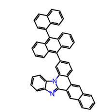 c1ccc2cc3c(cc2c1)c1ccc(-c2c4ccccc4c(-c4cccc5ccccc45)c4ccccc24)cc1n1c2ccccc2nc31